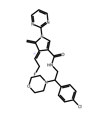 C=c1/c(=C/CF)c(C(=O)NCC(c2ccc(Cl)cc2)N2CCOCC2)cn1-c1ncccn1